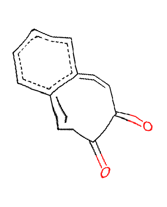 O=C1C=c2ccccc2=CC1=O